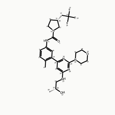 Cc1ccc(NC(=O)N2CC[C@H](CC(F)(F)F)C2)cc1-c1cc(NC[C@@H](C)O)nc(N2CCOCC2)n1